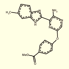 COC(=O)c1ccc(Oc2cnc(N)c(-c3nc4ccc(C)cc4[nH]3)n2)cc1